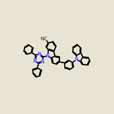 N#Cc1ccc2c3cc(-c4cccc(-n5c6ccccc6c6ccccc65)c4)ccc3n(-c3nc(-c4ccccc4)nc(-c4ccccc4)n3)c2c1